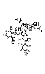 CC/C(C)=C/c1c(/C=C(\C)c2c(F)cccc2OC)c(NC(=O)c2ccc(Br)cc2)nn1C(=O)OC(C)(C)C